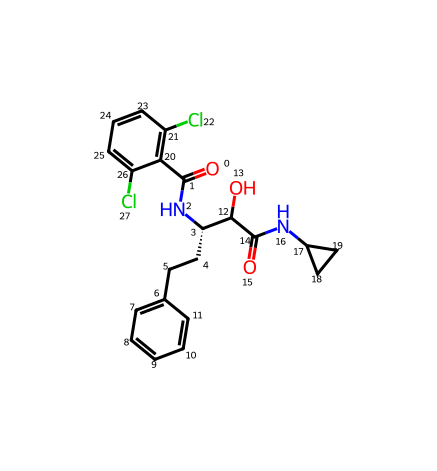 O=C(N[C@@H](CCc1ccccc1)C(O)C(=O)NC1CC1)c1c(Cl)cccc1Cl